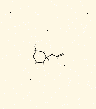 C=CCC1(F)CCCN(C)C1